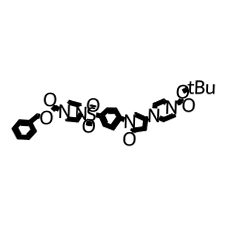 CC(C)(C)OC(=O)N1CCN(C2CC(=O)N(c3ccc(S(=O)(=O)N4CCN(C(=O)OCc5ccccc5)CC4)cc3)C2)CC1